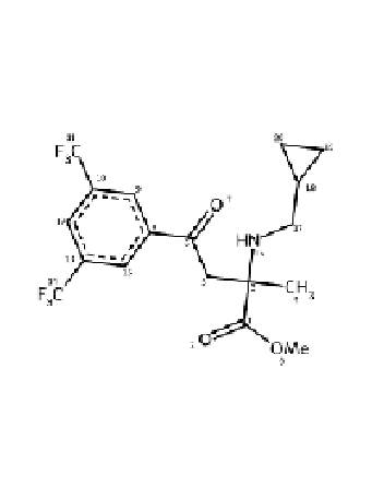 COC(=O)C(C)(CC(=O)c1cc(C(F)(F)F)cc(C(F)(F)F)c1)NCC1CC1